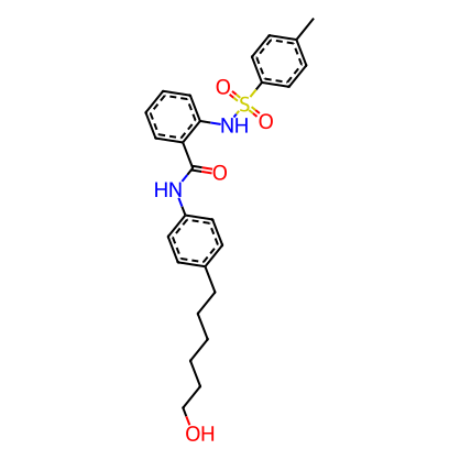 Cc1ccc(S(=O)(=O)Nc2ccccc2C(=O)Nc2ccc(CCCCCCO)cc2)cc1